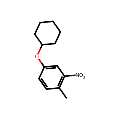 Cc1ccc(OC2CCCCC2)cc1[N+](=O)[O-]